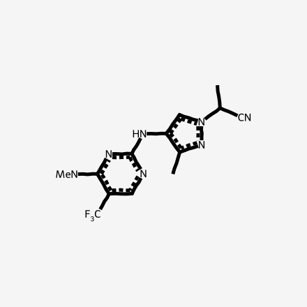 CNc1nc(Nc2cn(C(C)C#N)nc2C)ncc1C(F)(F)F